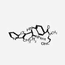 CCCCCC(C)C(Nc1ccc(C(=O)N(C)CCC=O)cc1)c1oc2cccnc2c1C